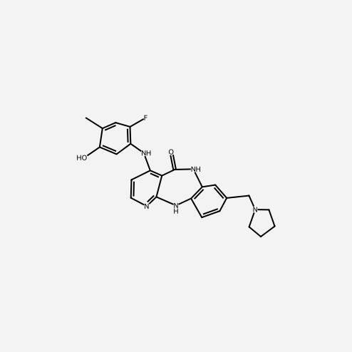 Cc1cc(F)c(Nc2ccnc3c2C(=O)Nc2cc(CN4CCCC4)ccc2N3)cc1O